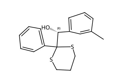 Cc1cccc([C@@H](O)C2(c3ccccc3)SCCCS2)c1